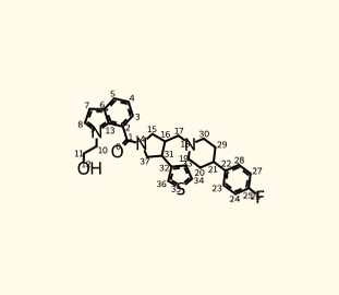 O=C(c1cccc2ccn(CCO)c12)N1CC(CN2CCC(c3ccc(F)cc3)CC2)C(c2ccsc2)C1